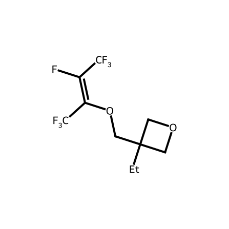 CCC1(CO/C(=C(/F)C(F)(F)F)C(F)(F)F)COC1